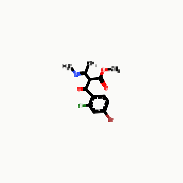 CN=C(C)C(C(=O)OC)C(=O)c1ccc(Br)cc1Cl